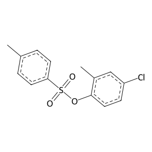 Cc1ccc(S(=O)(=O)Oc2ccc(Cl)cc2C)cc1